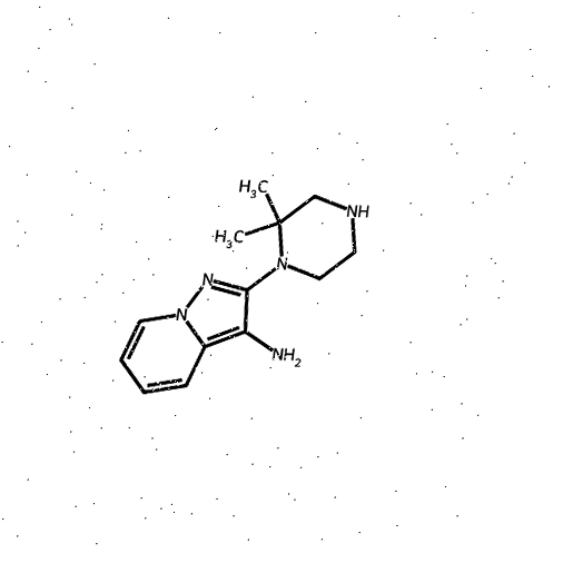 CC1(C)CNCCN1c1nn2ccccc2c1N